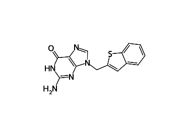 Nc1nc2c(ncn2Cc2cc3ccccc3s2)c(=O)[nH]1